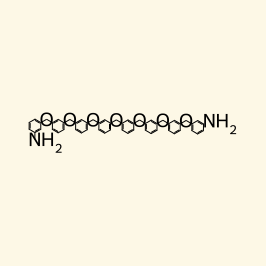 Nc1cccc(Oc2cccc(Oc3cccc(Oc4cccc(Oc5cccc(Oc6cccc(Oc7cccc(Oc8cccc(N)c8)c7)c6)c5)c4)c3)c2)c1